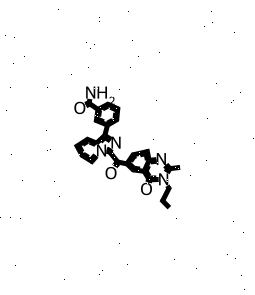 CCCn1c(C)nc2ccc(C(=O)c3nc(-c4cccc(C(N)=O)c4)c4ccccn34)cc2c1=O